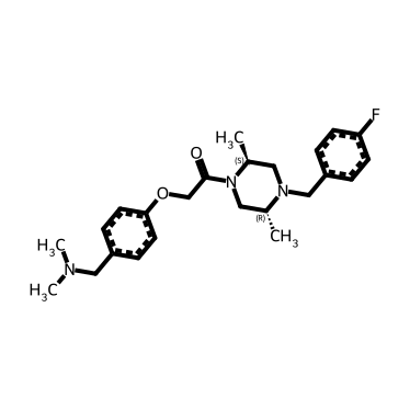 C[C@@H]1CN(C(=O)COc2ccc(CN(C)C)cc2)[C@@H](C)CN1Cc1ccc(F)cc1